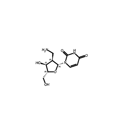 NC[C@@H]1[C@H](O)[C@@H](CO)O[C@H]1n1ccc(=O)[nH]c1=O